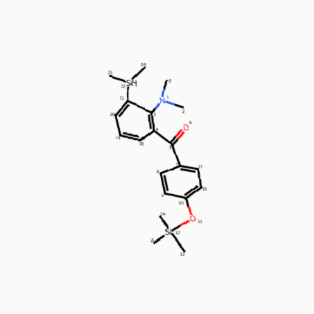 CN(C)c1c(C(=O)c2ccc(O[Si](C)(C)C)cc2)cccc1[SiH](C)C